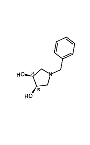 O[C@@H]1CN(Cc2ccccc2)C[C@@H]1O